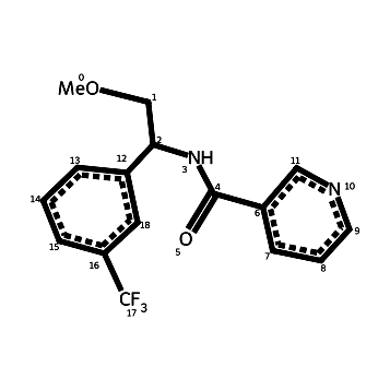 COCC(NC(=O)c1cccnc1)c1cccc(C(F)(F)F)c1